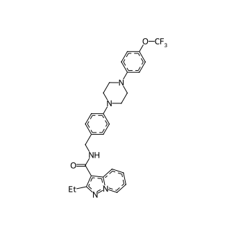 CCc1nn2ccccc2c1C(=O)NCc1ccc(N2CCN(c3ccc(OC(F)(F)F)cc3)CC2)cc1